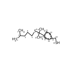 CC(C)CCCSC(C)(C)c1ccc(CS)cc1